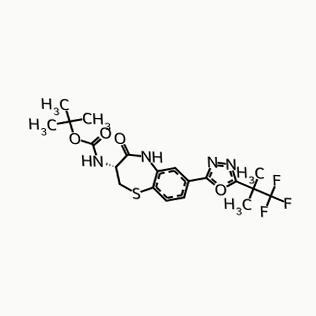 CC(C)(C)OC(=O)N[C@H]1CSc2ccc(-c3nnc(C(C)(C)C(F)(F)F)o3)cc2NC1=O